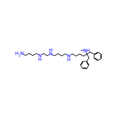 CNC(CCCCNCCCCNCCNCCCCN)(Cc1ccccc1)Cc1ccccc1